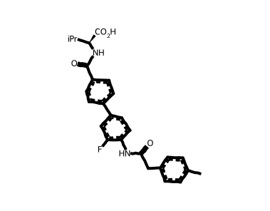 Cc1ccc(CC(=O)Nc2ccc(-c3ccc(C(=O)N[C@H](C(=O)O)C(C)C)cc3)cc2F)cc1